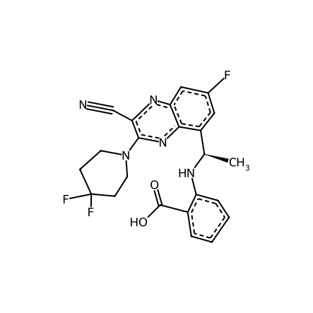 C[C@@H](Nc1ccccc1C(=O)O)c1cc(F)cc2nc(C#N)c(N3CCC(F)(F)CC3)nc12